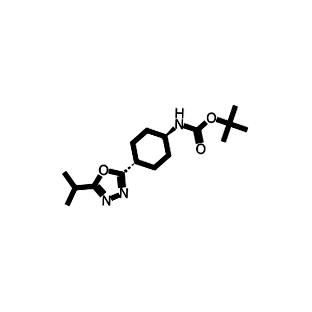 CC(C)c1nnc([C@H]2CC[C@H](NC(=O)OC(C)(C)C)CC2)o1